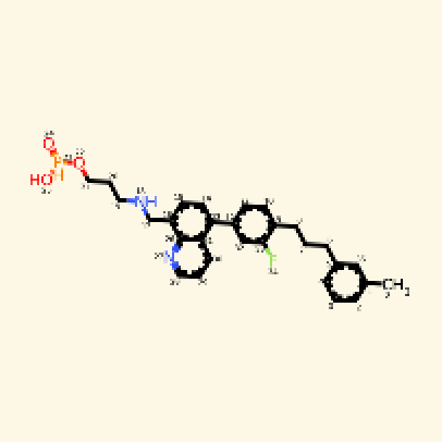 Cc1cccc(CCCc2ccc(-c3ccc(CNCCCO[PH](=O)O)c4ncccc34)cc2F)c1